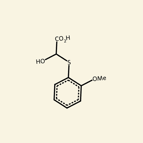 COc1ccccc1SC(O)C(=O)O